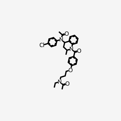 CCN(CCCOc1ccc(C(=O)N2c3ccccc3C(N(C(C)=O)c3ccc(Cl)cc3)CC2C)cc1)C(C)=O